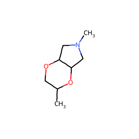 CC1COC2CN(C)CC2O1